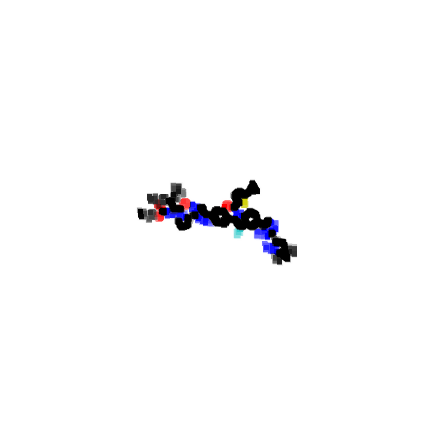 COC(=O)N[C@H](C(=O)N1CCC[C@H]1c1ncc(-c2ccc3c(c2)OC(c2ccc(C4CC4)s2)n2c-3c(F)c3cc(-c4cnc([C@@H]5C[C@H]6C[C@H]6N5)[nH]4)ccc32)[nH]1)C(C)C